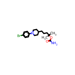 CC(C)(CCCC1CCN(c2ccc(Br)cc2)CC1)OC(N)=O